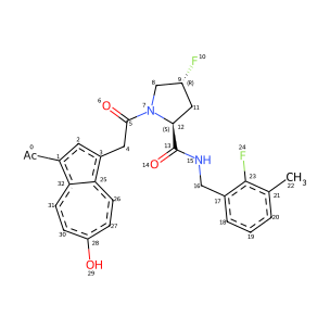 CC(=O)c1cc(CC(=O)N2C[C@H](F)C[C@H]2C(=O)NCc2cccc(C)c2F)c2ccc(O)ccc1-2